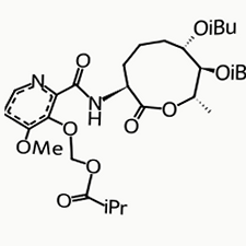 COc1ccnc(C(=O)N[C@H]2CCC[C@H](OCC(C)C)[C@@H](OCC(C)C)[C@H](C)OC2=O)c1OCOC(=O)C(C)C